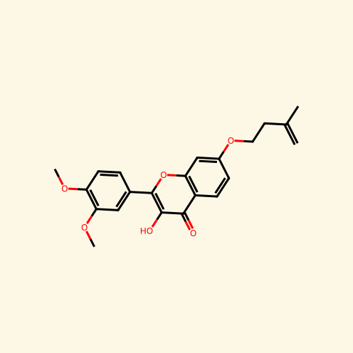 C=C(C)CCOc1ccc2c(=O)c(O)c(-c3ccc(OC)c(OC)c3)oc2c1